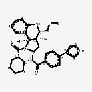 COC[C@@H]1Nc2ccccc2[C@H]2[C@@H]1CCN2C(=O)[C@H]1CCCC[C@H]1NC(=O)c1ccc(-n2ccnc2)cc1